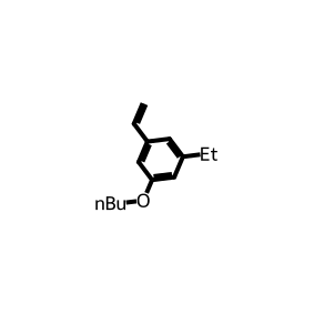 C=Cc1cc(CC)cc(OCCCC)c1